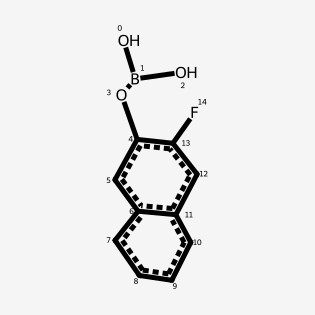 OB(O)Oc1cc2ccccc2cc1F